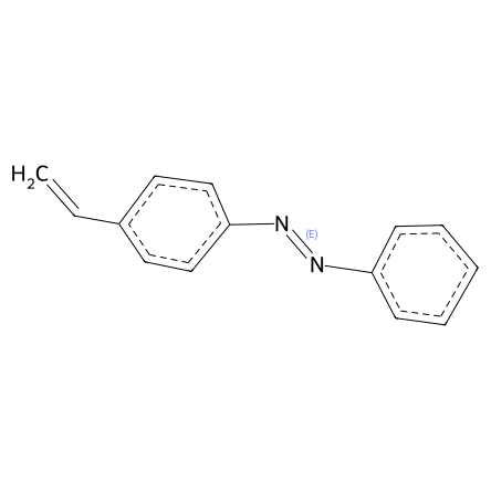 C=Cc1ccc(/N=N/c2ccccc2)cc1